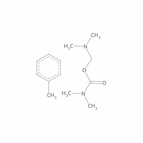 CN(C)COC(=O)N(C)C.Cc1ccccc1